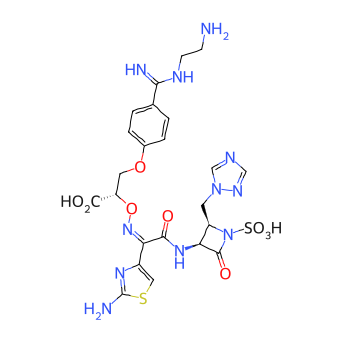 N=C(NCCN)c1ccc(OC[C@H](O/N=C(\C(=O)N[C@@H]2C(=O)N(S(=O)(=O)O)[C@@H]2Cn2cncn2)c2csc(N)n2)C(=O)O)cc1